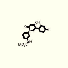 CCOC(=O)Nc1cccc(-n2cc(-c3ccc(F)cc3)c(C)cc2=O)c1